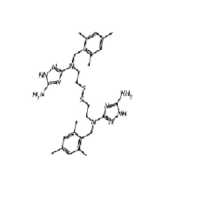 Cc1cc(C)c(CN(CCSSCCN(Cc2c(C)cc(C)cc2C)c2n[nH]c(N)n2)c2n[nH]c(N)n2)c(C)c1